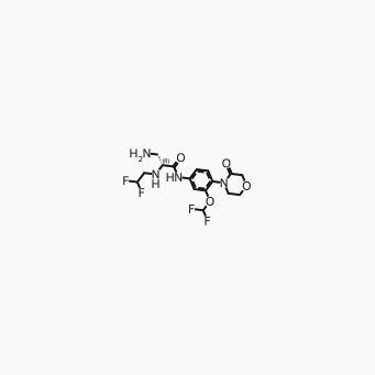 NC[C@@H](NCC(F)F)C(=O)Nc1ccc(N2CCOCC2=O)c(OC(F)F)c1